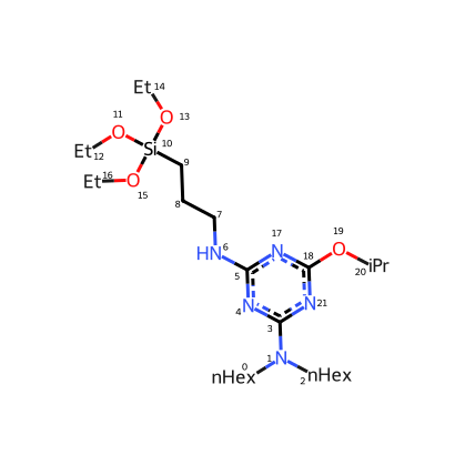 CCCCCCN(CCCCCC)c1nc(NCCC[Si](OCC)(OCC)OCC)nc(OC(C)C)n1